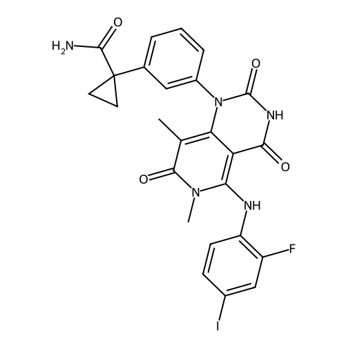 Cc1c(=O)n(C)c(Nc2ccc(I)cc2F)c2c(=O)[nH]c(=O)n(-c3cccc(C4(C(N)=O)CC4)c3)c12